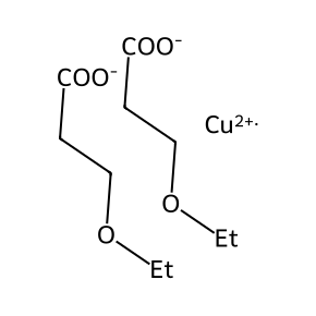 CCOCCC(=O)[O-].CCOCCC(=O)[O-].[Cu+2]